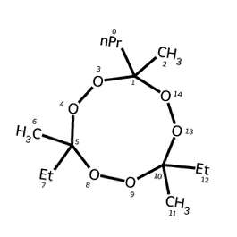 CCCC1(C)OOC(C)(CC)OOC(C)(CC)OO1